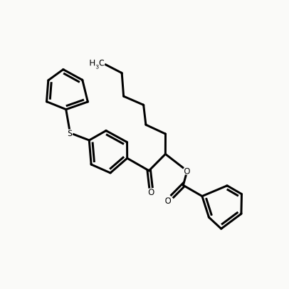 CCCCCCC(OC(=O)c1ccccc1)C(=O)c1ccc(Sc2ccccc2)cc1